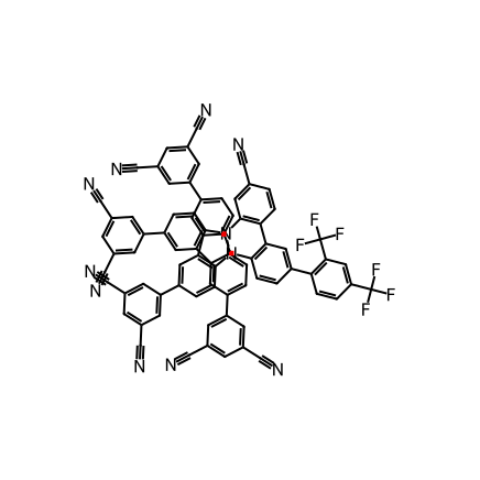 N#Cc1cc(C#N)cc(-c2ccc3c(c2)c2cc(-c4cc(C#N)cc(C#N)c4)ccc2n3-c2ccc(-c3ccc(C(F)(F)F)cc3C(F)(F)F)cc2-c2ccc(C#N)cc2-n2c3ccc(-c4cc(C#N)cc(C#N)c4)cc3c3cc(-c4cc(C#N)cc(C#N)c4)ccc32)c1